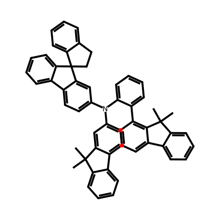 CC1(C)c2ccccc2-c2ccc(N(c3ccc4c(c3)C3(CCc5ccccc53)c3ccccc3-4)c3ccccc3-c3cccc4c3C(C)(C)c3ccccc3-4)cc21